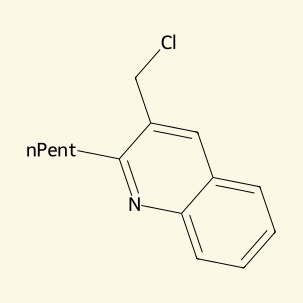 CCCCCc1nc2ccccc2cc1CCl